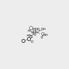 O=C(CO)C(C[C@@H]1CCNC1=O)NC(=O)[C@@H]1[C@H]2CCCC[C@H]2CN1C(=O)c1cc2c(Cl)cc(-c3ccccc3)cc2[nH]1